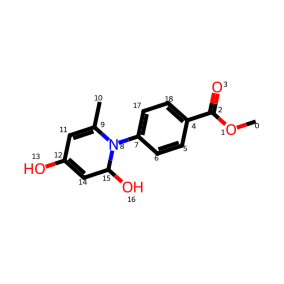 COC(=O)c1ccc(N2C(C)=CC(O)=CC2O)cc1